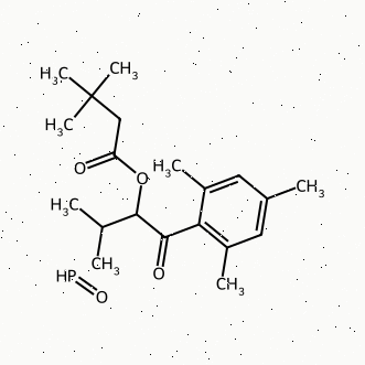 Cc1cc(C)c(C(=O)C(OC(=O)CC(C)(C)C)C(C)C)c(C)c1.O=P